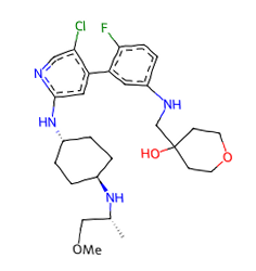 COC[C@@H](C)N[C@H]1CC[C@H](Nc2cc(-c3cc(NCC4(O)CCOCC4)ccc3F)c(Cl)cn2)CC1